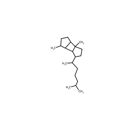 CC(C)CCCC(C)C1CCC2(C)C3CCC(C)C3C12